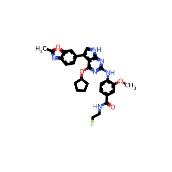 COc1cc(C(=O)NCCF)ccc1Nc1nc(OC2CCCC2)c2c(-c3ccc4nc(C)oc4c3)c[nH]c2n1